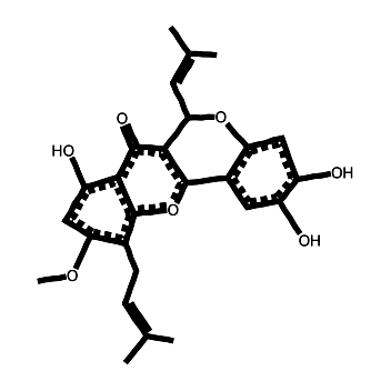 COc1cc(O)c2c(=O)c3c(oc2c1CC=C(C)C)-c1cc(O)c(O)cc1OC3C=C(C)C